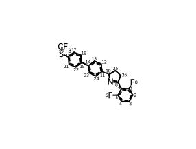 Fc1cccc(F)c1C1=N[C@@H](c2ccc(-c3ccc(SC(F)(F)F)cc3)cc2)CC1